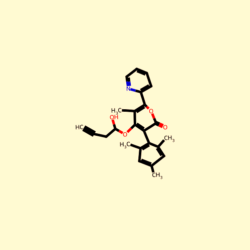 C#CCC(O)Oc1c(C)c(-c2ccccn2)oc(=O)c1-c1c(C)cc(C)cc1C